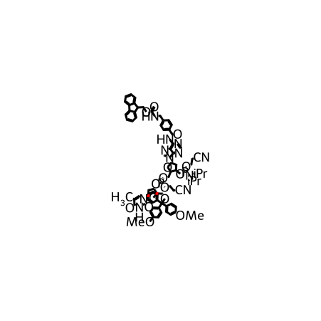 COc1ccc(C(OCC2OC(n3cc(C)c(=O)[nH]c3=O)CC2OP(OCCC#N)OCC2OC(n3cnc4c(NC(=O)c5ccc(CNC(=O)OCC6c7ccccc7-c7ccccc76)cc5)ncnc43)CC2OP(OCCC#N)N(C(C)C)C(C)C)(c2ccccc2)c2ccc(OC)cc2)cc1